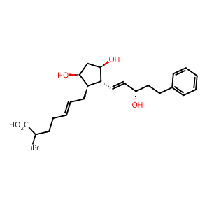 CC(C)C(CCC=CC[C@@H]1[C@@H](C=C[C@@H](O)CCc2ccccc2)[C@H](O)C[C@@H]1O)C(=O)O